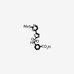 CSc1nccc(C2=CCC(S(=O)(=O)Nc3cccc(C(=O)O)c3)S2)n1